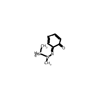 CN(N=C1C=CC=CC1=O)[SiH](C)C